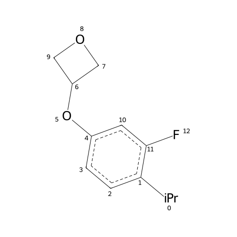 CC(C)c1ccc(OC2COC2)cc1F